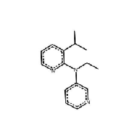 CCN(c1cccnc1)c1ncccc1C(C)C